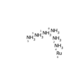 N.N.N.N.N.N.[Ru]